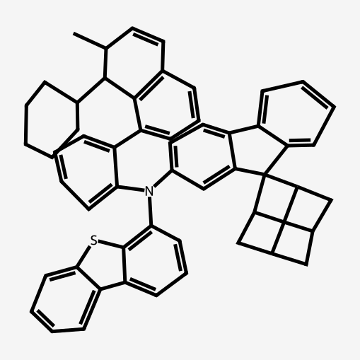 CC1C=Cc2cccc(-c3ccccc3N(c3ccc4c(c3)C3(c5ccccc5-4)C4CC5CC6CC3C564)c3cccc4c3sc3ccccc34)c2C1C1CCCCC1